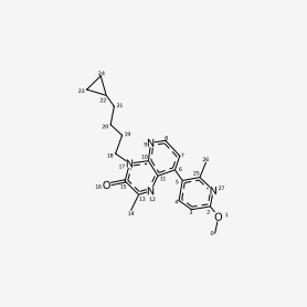 COc1ccc(-c2ccnc3c2nc(C)c(=O)n3CCCCC2CC2)c(C)n1